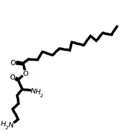 CCCCCCCCCCCCCC(=O)OC(=O)C(N)CCCCN